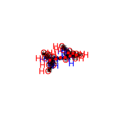 O=C(NCCCCNC(=O)c1c(I)c(NC(=O)C(O)C(O)CO)c(I)c(C(=O)N(O)CCCO)c1I)c1c(I)c(NC(=O)C(O)C(O)CO)c(I)c(C(=O)NCC(O)CO)c1I